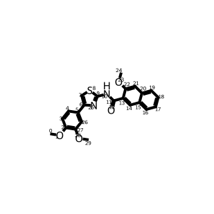 COc1ccc(-c2csc(NC(=O)c3cc4ccccc4cc3OC)n2)cc1OC